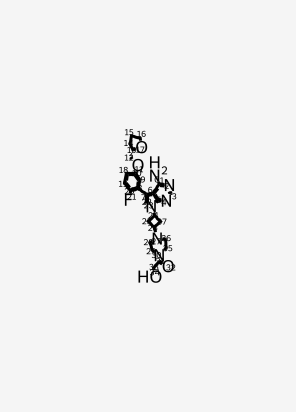 Nc1ncnc2c1c(-c1cc(OC[C@@H]3CCCO3)ccc1F)cn2C1CC(N2CCN(C(=O)CO)CC2)C1